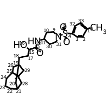 Cc1ccc(S(=O)(=O)N2CCC(NC(=O)C(O)CCC34CC5CCCC(C3)C(C5)C4)CC2)cc1